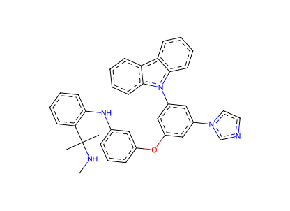 CNC(C)(C)c1ccccc1Nc1cccc(Oc2cc(-n3ccnc3)cc(-n3c4ccccc4c4ccccc43)c2)c1